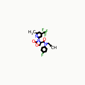 C#CCN(C(=O)C1COC(=O)N1c1cc(C(F)(F)F)cc(C)n1)c1ccc(F)cc1